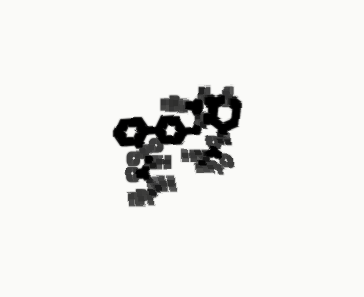 CCCCc1nc2c(n1Cc1ccc(-c3ccccc3S(=O)(=O)NC(=O)NCCC)cc1)/C(=N\OC(=O)NCCC)CCS2